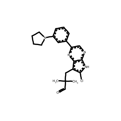 CC(C)(C=O)Cc1c(Cl)[nH]c2ncc(-c3cccc(N4CCCC4)c3)nc12